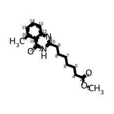 COC(=O)CCCCCCc1nc2cccc(C)c2c(=O)[nH]1